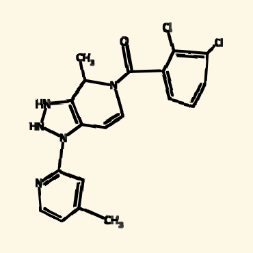 Cc1ccnc(N2NNC3=C2C=CN(C(=O)c2cccc(Cl)c2Cl)C3C)c1